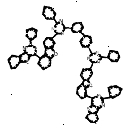 c1ccc(-c2nc(-c3ccc(-c4cccc(-c5nc(-c6ccccc6)nc(-c6ccc7c(c6)oc6cccc(-c8nc(-c9ccccc9)nc9c8sc8ccccc89)c67)n5)c4)cc3)nc(-c3ccc4c(c3)oc3c(-c5nc(-c6ccccc6)nc6c5sc5ccccc56)cccc34)n2)cc1